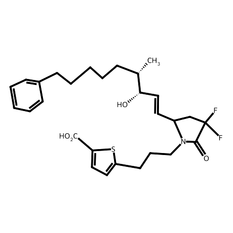 C[C@@H](CCCCCc1ccccc1)[C@@H](O)/C=C/C1CC(F)(F)C(=O)N1CCCc1ccc(C(=O)O)s1